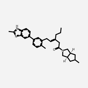 CCC/C(=C\Cc1cc(-c2ccc3[nH]c(C)nc3c2)ccc1C)CC(=O)N1C[C@H]2CC(C)C[C@H]2C1